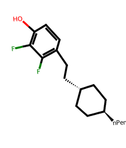 CCCCC[C@H]1CC[C@H](CCc2ccc(O)c(F)c2F)CC1